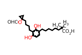 CC(C)(CCCCCCc1ccc(O)c(CCCCC2(OC=O)CC2)c1O)C(=O)O